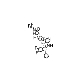 O=C(C[C@H](c1ccccc1)c1ccc(F)c(F)c1)Nc1cncc(F)c1CC[C@@H]1CN[C@H](COC(=O)NCC(F)(F)F)CO1